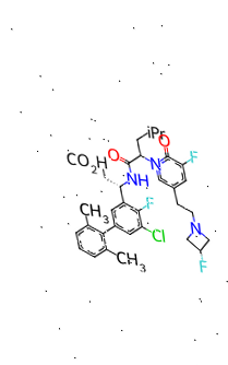 Cc1cccc(C)c1-c1cc(Cl)c(F)c([C@H](CC(=O)O)NC(=O)C(CC(C)C)n2cc(CCN3CC(F)C3)cc(F)c2=O)c1